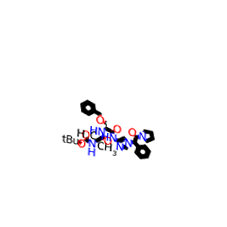 CC(C)(C)OC(=O)NC(C)(C)C(=O)N[C@H](COCc1ccccc1)C(=O)Nc1cn(C(C(=O)N2CCCC2)c2ccccc2)cn1